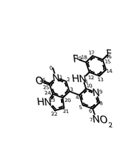 Cn1cc(-c2cc([N+](=O)[O-])cnc2Nc2ccc(F)cc2F)c2cc[nH]c2c1=O